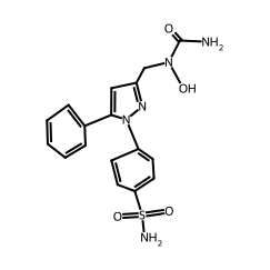 NC(=O)N(O)Cc1cc(-c2ccccc2)n(-c2ccc(S(N)(=O)=O)cc2)n1